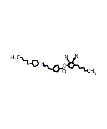 CCCCCc1ccc(OC(=O)c2ccc(CC/C=C/[C@H]3CC[C@H](CCCCC)CC3)cc2)c(C#N)c1C#N